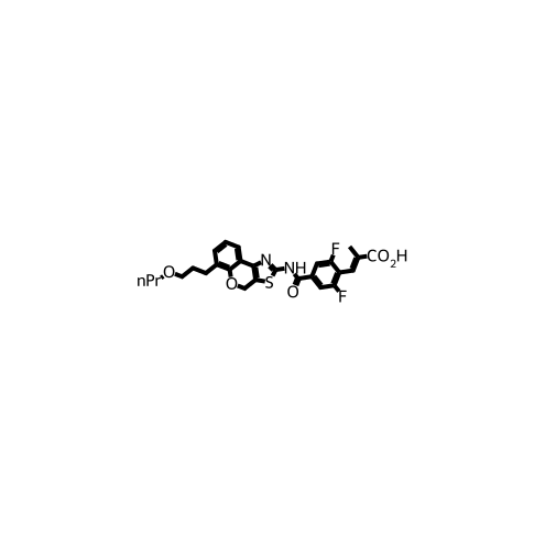 CCCOCCCc1cccc2c1OCc1sc(NC(=O)c3cc(F)c(/C=C(\C)C(=O)O)c(F)c3)nc1-2